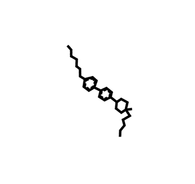 CCCCCCCc1ccc(-c2ccc(C3CCC(C)(CCCCC)CC3)cc2)cc1